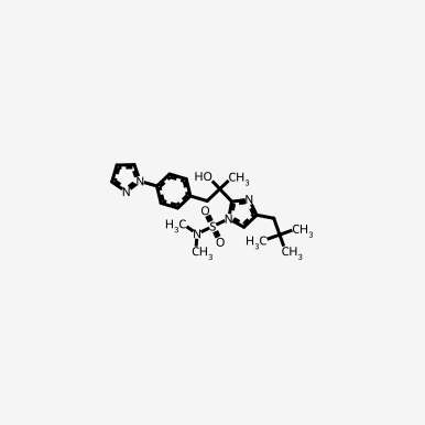 CN(C)S(=O)(=O)n1cc(CC(C)(C)C)nc1C(C)(O)Cc1ccc(-n2cccn2)cc1